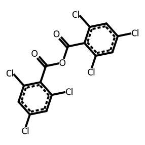 O=C(OC(=O)c1c(Cl)cc(Cl)cc1Cl)c1c(Cl)cc(Cl)cc1Cl